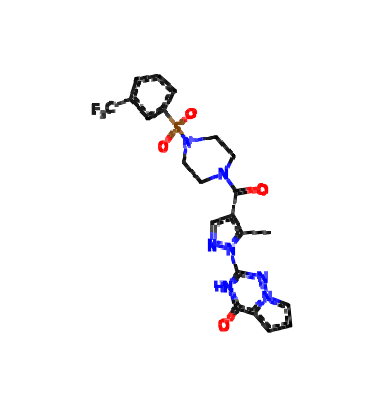 Cc1c(C(=O)N2CCN(S(=O)(=O)c3cccc(C(F)(F)F)c3)CC2)cnn1-c1nn2cccc2c(=O)[nH]1